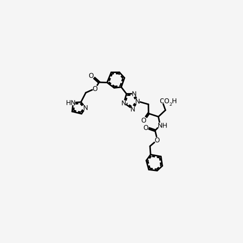 O=C(O)CC(NC(=O)OCc1ccccc1)C(=O)Cn1nnc(-c2cccc(C(=O)OCc3ncc[nH]3)c2)n1